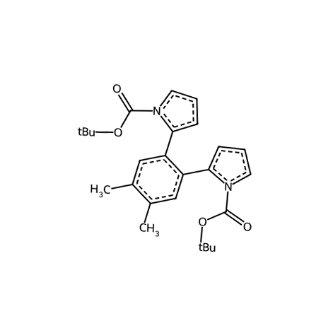 Cc1cc(-c2cccn2C(=O)OC(C)(C)C)c(-c2cccn2C(=O)OC(C)(C)C)cc1C